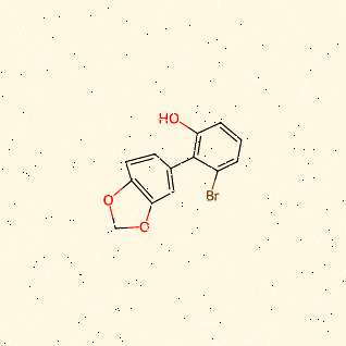 Oc1cccc(Br)c1-c1ccc2c(c1)OCO2